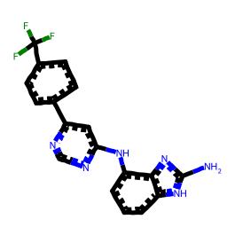 Nc1nc2c(Nc3cc(-c4ccc(C(F)(F)F)cc4)ncn3)cccc2[nH]1